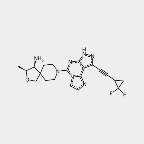 C[C@@H]1OCC2(CCN(c3nc4[nH]nc(C#CC5CC5(F)F)c4c4nccn34)CC2)[C@@H]1N